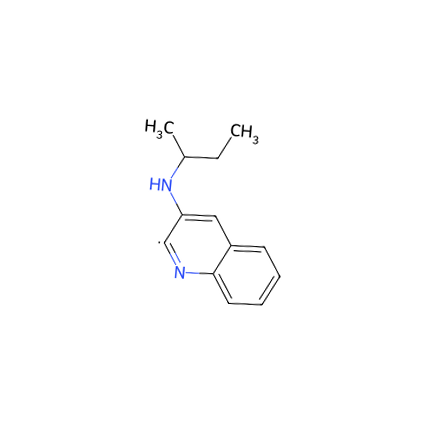 CCC(C)Nc1[c]nc2ccccc2c1